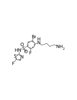 NCCCCNc1cc(F)c(S(=O)(=O)Nc2ncc(F)s2)cc1Br